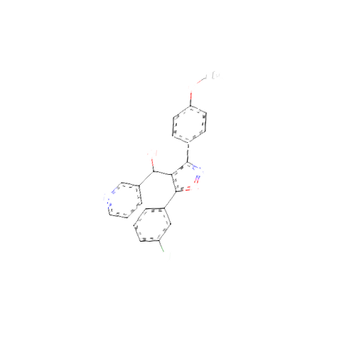 CCCCOc1ccc(-c2noc(-c3cccc(Cl)c3)c2C(O)c2cccnc2)cc1